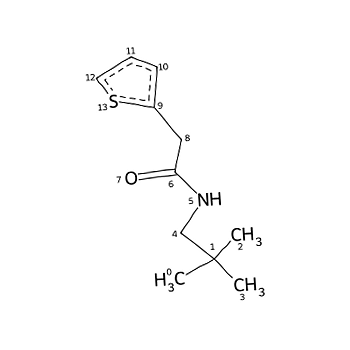 CC(C)(C)CNC(=O)Cc1cccs1